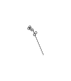 CCCCCCCCCCCCCCCCCCOC(=O)CCN1CCS(=O)(=O)CC1